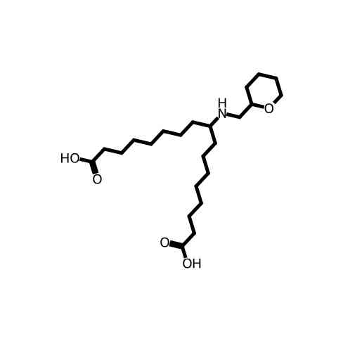 O=C(O)CCCCCCCC(CCCCCCCC(=O)O)NCC1CCCCO1